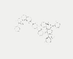 c1ccc(-c2ccc3ccc4ccc(-c5ccc(-c6cccc(-c7c8c(cc9c(-c%10ccccc%10)nc%10ccccc%10c79)oc7ccccc78)c6)cc5)nc4c3n2)cc1